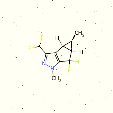 C[C@@H]1[C@@H]2c3c(C(F)F)nn(C)c3C(F)(F)[C@H]12